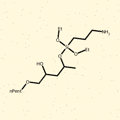 CCCCCOCC(O)CC(C)O[Si](CCCN)(OCC)OCC